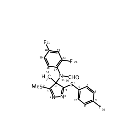 CSC1=NN=C(Sc2ccc(F)cc2)C1(C)N(C=O)c1ccc(F)cc1F